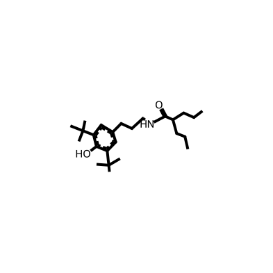 CCCC(CCC)C(=O)NCCCc1cc(C(C)(C)C)c(O)c(C(C)(C)C)c1